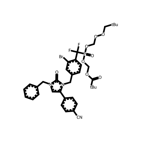 CC(C)(C)COOCOP(=O)(OCOC(=O)C(C)(C)C)C(F)(F)c1ccc(Cn2c(-c3ccc(C#N)cc3)cn(Cc3ccccc3)c2=O)cc1Br